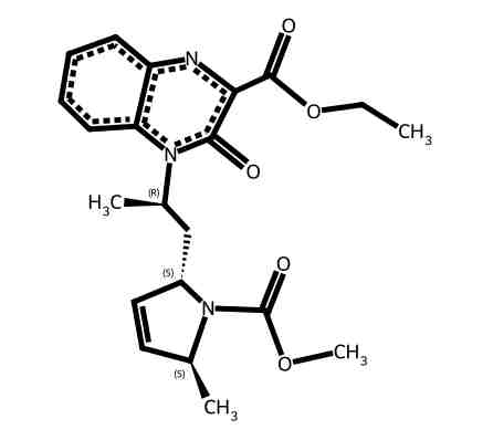 CCOC(=O)c1nc2ccccc2n([C@H](C)C[C@H]2C=C[C@H](C)N2C(=O)OC)c1=O